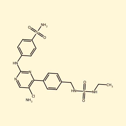 CCNS(=O)(=O)NCc1ccc(-c2nc(Nc3ccc(S(N)(=O)=O)cc3)ncc2Cl)cc1.N